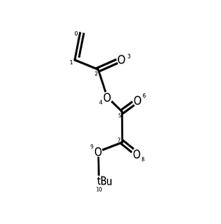 C=CC(=O)OC(=O)C(=O)OC(C)(C)C